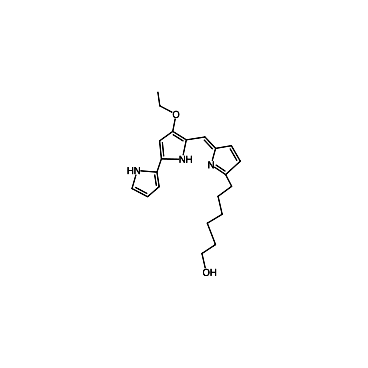 CCOc1cc(-c2ccc[nH]2)[nH]c1C=C1C=CC(CCCCCCO)=N1